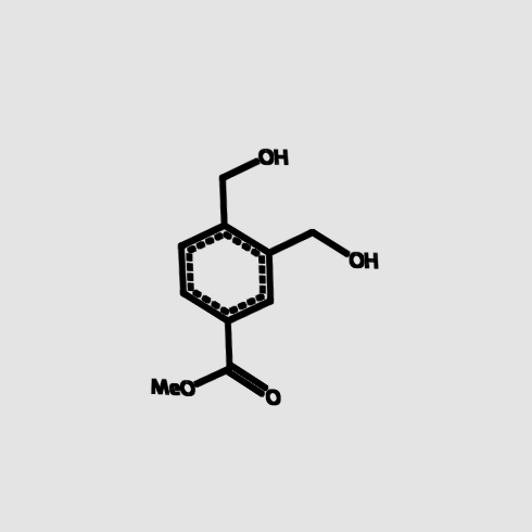 COC(=O)c1ccc(CO)c(CO)c1